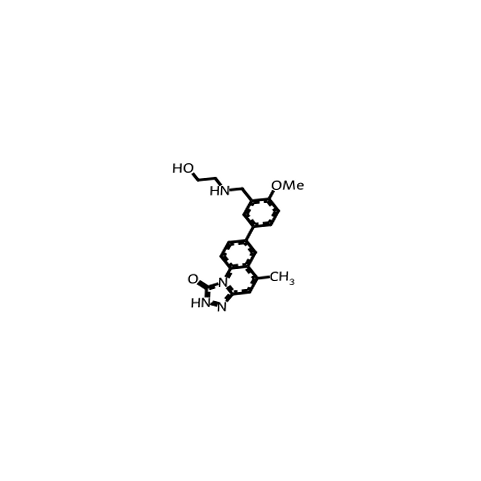 COc1ccc(-c2ccc3c(c2)c(C)cc2n[nH]c(=O)n23)cc1CNCCO